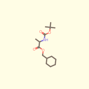 CC(NC(=O)OC(C)(C)C)C(=O)OCC1CCCCC1